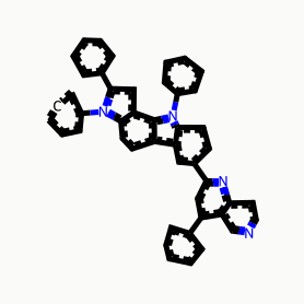 c1ccc(-c2cc(-c3ccc4c(c3)c3ccc5c(cc(-c6ccccc6)n5-c5ccccc5)c3n4-c3ccccc3)nc3ccncc23)cc1